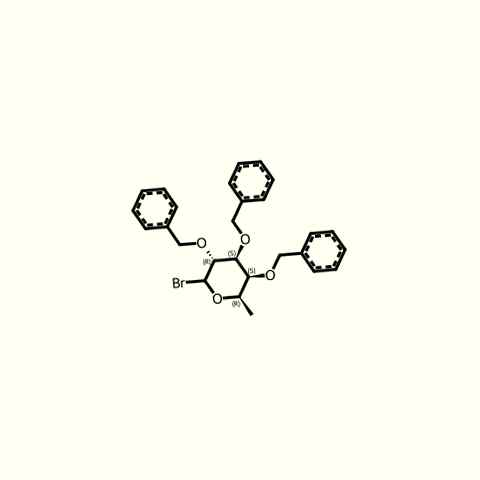 C[C@H]1OC(Br)[C@H](OCc2ccccc2)[C@@H](OCc2ccccc2)[C@H]1OCc1ccccc1